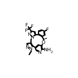 CCn1ncc2c1-c1cnc(N)c(c1)O[C@H](C)c1cc(F)ccc1-c1cc(C(F)(F)F)nn1C2